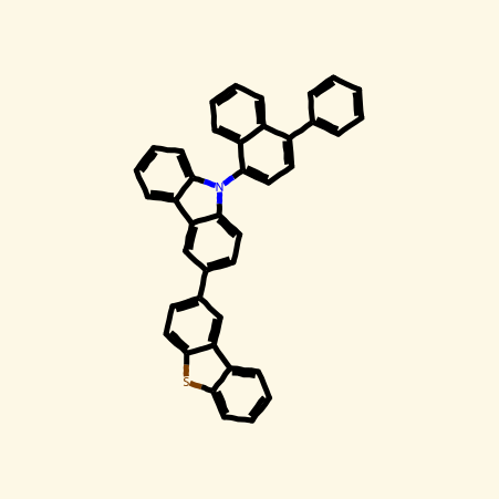 c1ccc(-c2ccc(-n3c4ccccc4c4cc(-c5ccc6sc7ccccc7c6c5)ccc43)c3ccccc23)cc1